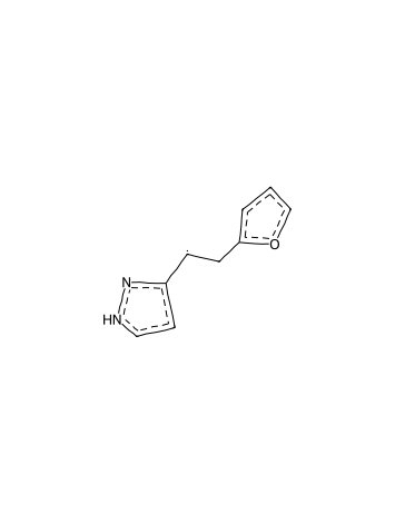 [CH](Cc1ccco1)c1cc[nH]n1